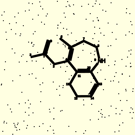 C=C(C)CC1=C(C)CCNC2=C1CCC=C2